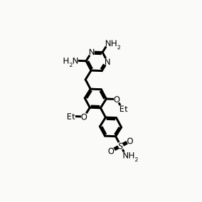 CCOc1cc(Cc2cnc(N)nc2N)cc(OCC)c1-c1ccc(S(N)(=O)=O)cc1